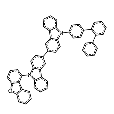 c1ccc(-c2ccccc2-c2ccc(-n3c4ccccc4c4cc(-c5ccc6c(c5)c5ccccc5n6-c5cccc6oc7ccccc7c56)ccc43)cc2)cc1